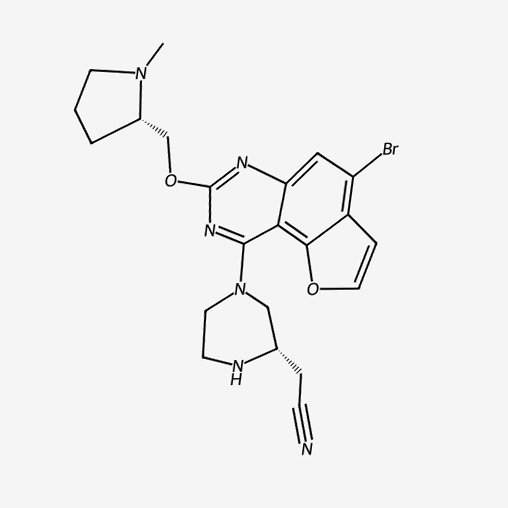 CN1CCC[C@H]1COc1nc(N2CCN[C@@H](CC#N)C2)c2c(cc(Br)c3ccoc32)n1